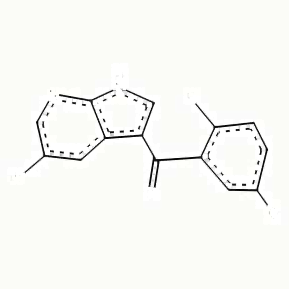 O=C(c1cc(Cl)ccc1F)c1c[nH]c2ncc(Br)cc12